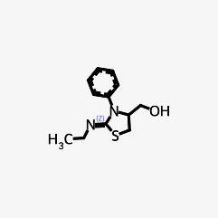 CC/N=C1\SCC(CO)N1c1ccccc1